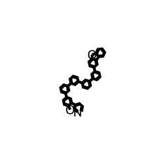 c1cc(-c2cccc(-c3cccc(-c4ccc5oc6ncccc6c5c4)c3)c2)cc(-c2cccc(-c3ccc4oc5ccccc5c4c3)c2)c1